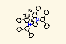 CC(C)(C)c1cc2c(cc1-c1ccccc1)N(c1cc(-c3ccccc3)cc(-c3ccccc3)c1)c1cccc3c1B2c1cc(C(C)(C)C)c(-c2ccccc2)cc1N3c1cc(-c2ccccc2)cc(-c2ccccc2)c1